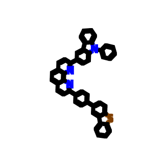 c1ccc(-n2c3ccccc3c3cc(-c4ccc5ccc6ccc(-c7ccc(-c8ccc9sc%10ccccc%10c9c8)cc7)nc6c5n4)ccc32)cc1